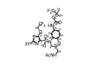 CCc1nc(S(=O)(=O)N2C[C@H](CNC(C)=O)Oc3ccc(NC(=O)OC(C)(C)C(F)(F)F)cc32)c(OCC(F)(F)F)s1